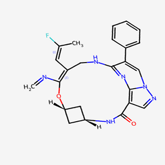 C=N/C1=C(\C=C(/C)F)CNc2nc3c(cnn3cc2-c2ccccc2)C(=O)N[C@H]2C[C@H](C2)O1